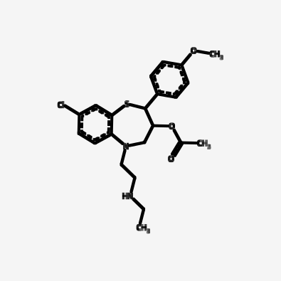 CCNCCN1CC(OC(C)=O)C(c2ccc(OC)cc2)Sc2cc(Cl)ccc21